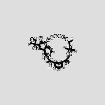 CC1CCCCCCn2c(=O)c(C3(C#N)COC3)cc3c(ncnc32)N[C@H](C)c2cccc(c2F)C(F)(F)C2CC(C)N1C(C)C2